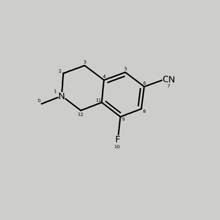 CN1CCc2cc(C#N)cc(F)c2C1